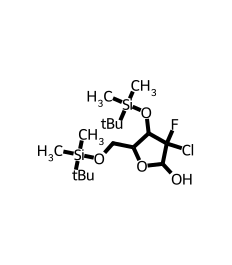 CC(C)(C)[Si](C)(C)OCC1OC(O)C(F)(Cl)C1O[Si](C)(C)C(C)(C)C